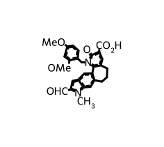 COc1ccc(Cn2c3c(cc(C(=O)O)c2=O)CCCc2cc4c(cc2-3)cc(C=O)n4C)c(OC)c1